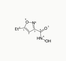 CCc1cc(C(=O)NO)no1